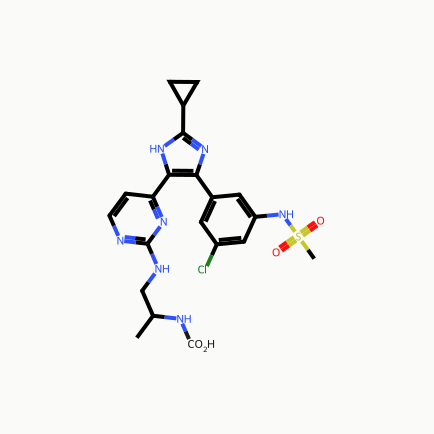 CC(CNc1nccc(-c2[nH]c(C3CC3)nc2-c2cc(Cl)cc(NS(C)(=O)=O)c2)n1)NC(=O)O